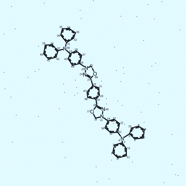 c1ccc(N(c2ccccc2)c2ccc(N3COC(c4ccc(C5=NN(c6ccc(N(c7ccccc7)c7ccccc7)cc6)CO5)cc4)=N3)cc2)cc1